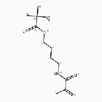 C=C(C)C(=O)NCCCCOC(=O)C(C)(C)CC